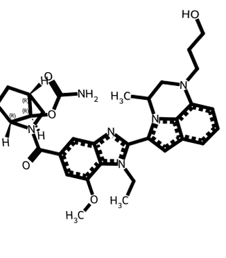 CCn1c(-c2cc3cccc4c3n2C(C)CN4CCCO)nc2cc(C(=O)N3C[C@H]4CC[C@@H]3[C@@H]4OC(N)=O)cc(OC)c21